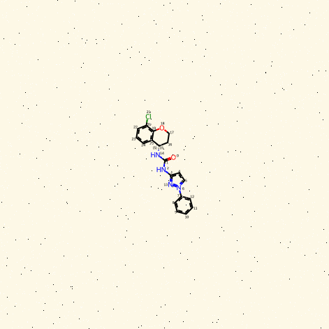 O=C(Nc1ccn(-c2ccccc2)n1)N[C@H]1CCOc2c(Cl)cccc21